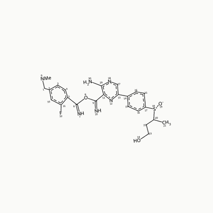 CNCc1ccc(C(=N)OC(=N)c2nc(-c3ccc([S+]([O-])C(C)CCO)cc3)cnc2N)c(F)c1